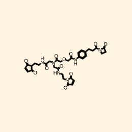 O=C(CN(CC(=O)NCCN1C(=O)C=CC1=O)C(=O)COCC(=O)Nc1ccc(CCC(=O)N2CCC2=O)cc1)NCCC1C(=O)C=CC1=O